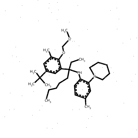 CCCCCC(CC)(Pc1ccc(C)cc1N1CCCCC1)c1cc(C(C)(C)C)cc(C)c1OCOC